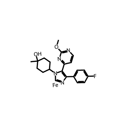 COc1nccc(-c2c(-c3ccc(F)cc3)ncn2C2CCC(C)(O)CC2)n1.[Fe]